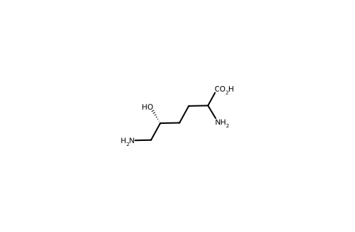 NC[C@H](O)CCC(N)C(=O)O